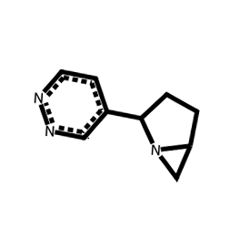 [c]1nnccc1C1CCC2CN21